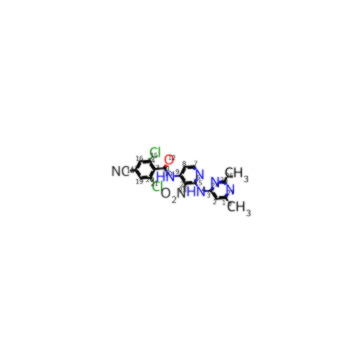 Cc1cc(Nc2nccc(NC(=O)c3c(Cl)cc(C#N)cc3Cl)c2[N+](=O)[O-])nc(C)n1